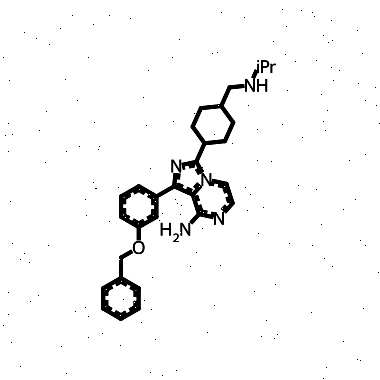 CC(C)NCC1CCC(c2nc(-c3cccc(OCc4ccccc4)c3)c3c(N)nccn23)CC1